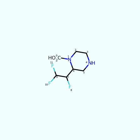 O=C(O)N1CCNCC1C(F)C(F)F